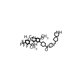 COc1cc2nc(C)nc(N[C@H](C)c3cccc(C(F)(F)F)c3F)c2cc1C1CCC(C(=O)N2CCN(CC3CCC4(CCNCC4)CC3)CC2)CC1